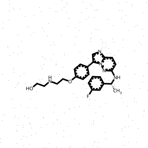 C[C@@H](Nc1ccc2ncc(-c3ccc(OCCNCCO)cc3)n2n1)c1cccc(F)c1